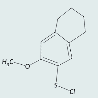 COc1cc2c(cc1SCl)CCCC2